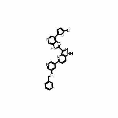 Clc1ccc(-c2cncc3[nH]c(-c4n[nH]c5ccc(-c6cncc(OCc7ccccc7)c6)nc45)nc23)s1